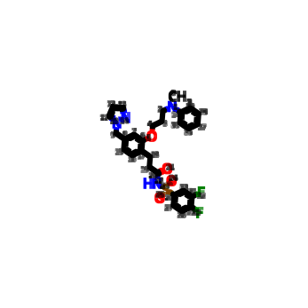 CN(CCCOc1cc(Cn2cccn2)ccc1CCC(=O)NS(=O)(=O)c1ccc(F)c(F)c1)c1ccccc1